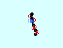 O=C(NCCc1ccc(OC(=O)c2ccc(C(=O)c3ccccc3)cc2)cc1)c1ccc(C(=O)c2ccccc2)cc1